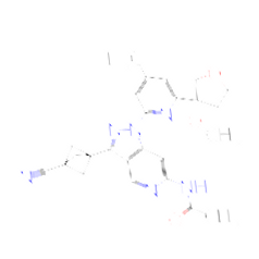 CO[C@@]1(c2cc(C)cc(-n3nc(C45CC(C#N)(C4)C5)c4cnc(NC(C)=O)cc43)n2)CCOC1